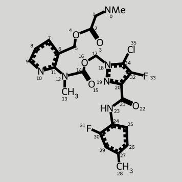 CNCC(=O)OCc1cccnc1N(C)C(=O)OCn1nc(C(=O)Nc2ccc(C)cc2F)c(F)c1Cl